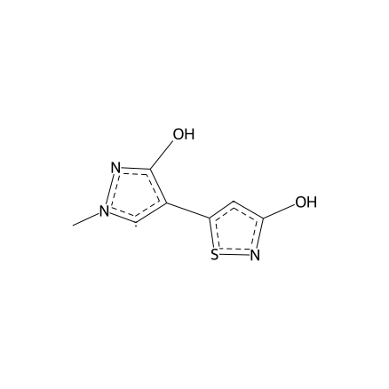 Cn1[c]c(-c2cc(O)ns2)c(O)n1